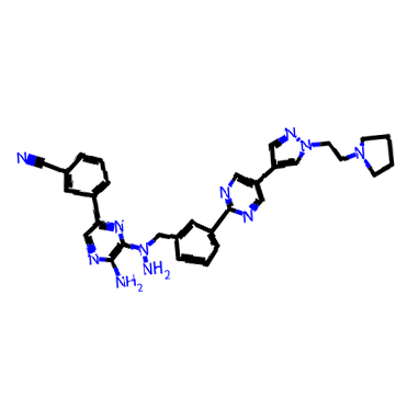 N#Cc1cccc(-c2cnc(N)c(N(N)Cc3cccc(-c4ncc(-c5cnn(CCN6CCCC6)c5)cn4)c3)n2)c1